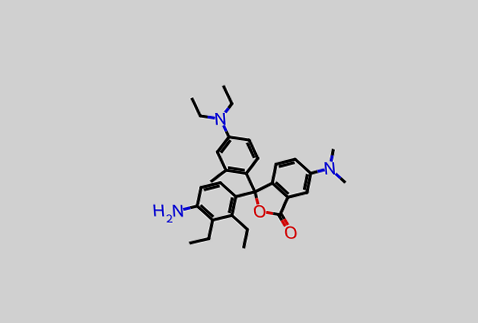 CCc1c(N)ccc(C2(c3ccc(N(CC)CC)cc3C)OC(=O)c3cc(N(C)C)ccc32)c1CC